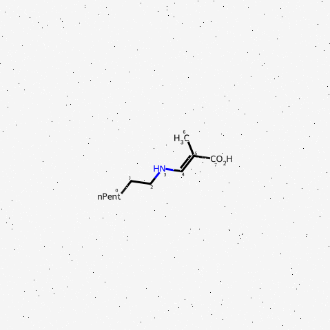 CCCCCCCNC=C(C)C(=O)O